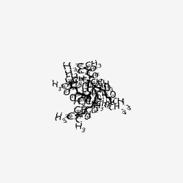 CC(C)(C)C(=O)CC(=O)C(C)(C)[CH2][Sn]([CH2]C(C)(C)C(=O)CC(=O)C(C)(C)C)([CH2]C(C)(C)C(=O)CC(=O)C(C)(C)C)[CH2]C(C)(C)C(=O)CC(=O)C(C)(C)C